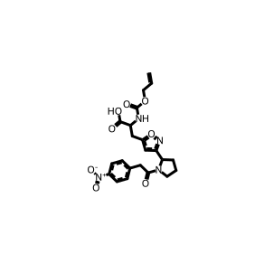 C=CCOC(=O)NC(Cc1cc(C2CCCN2C(=O)Cc2ccc([N+](=O)[O-])cc2)no1)C(=O)O